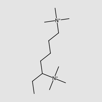 CCC(CCCC[N+](C)(C)C)[N+](C)(C)C